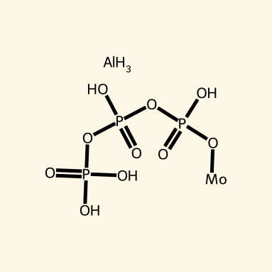 O=P(O)(O)OP(=O)(O)OP(=O)(O)[O][Mo].[AlH3]